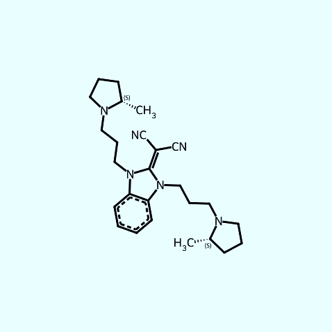 C[C@H]1CCCN1CCCN1C(=C(C#N)C#N)N(CCCN2CCC[C@@H]2C)c2ccccc21